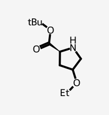 CCOC1CN[C@H](C(=O)OC(C)(C)C)C1